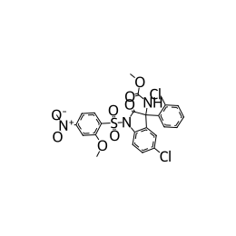 COC(=O)NC1(c2ccccc2Cl)C(=O)N(S(=O)(=O)c2ccc([N+](=O)[O-])cc2OC)c2ccc(Cl)cc21